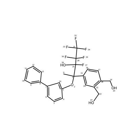 CC(Oc1cccc(-c2ccccc2)c1)(c1ccc(CO)c(CO)c1)C(O)(F)C(F)(F)C(F)(F)F